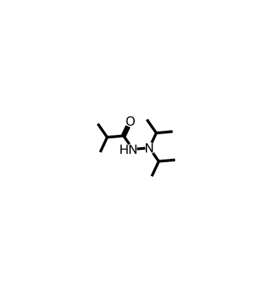 CC(C)C(=O)NN(C(C)C)C(C)C